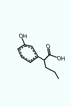 CCCC(C(=O)O)c1cccc(O)c1